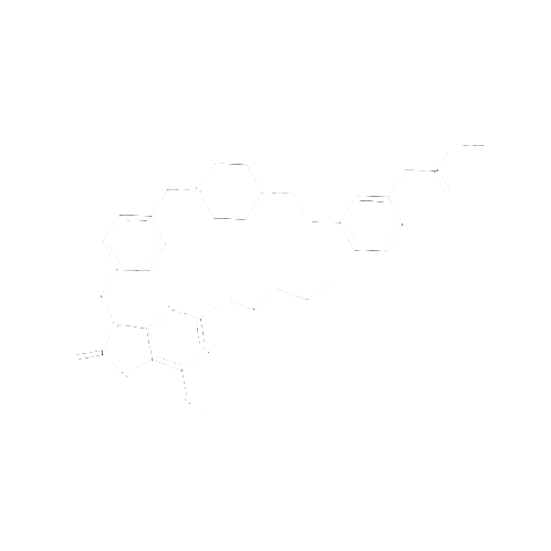 CCCCOc1nc(N)c2[nH]c(=O)n(Cc3ccc(CN4CCC(COc5cccc(CC(=O)OC)c5)CC4)cc3)c2n1